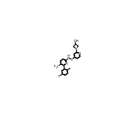 Cc1ccc(F)cc1-c1nc(NSc2ccnc(N3CC(O)C3)c2)ccc1C(F)(F)F